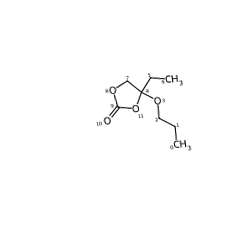 CCCOC1(CC)COC(=O)O1